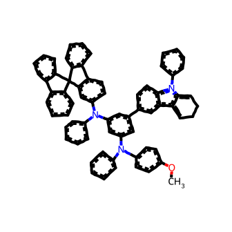 COc1ccc(N(c2ccccc2)c2cc(-c3ccc4c(c3)c3c(n4-c4ccccc4)=CCCC=3)cc(N(c3ccccc3)c3ccc4c(c3)C3(c5ccccc5-c5ccccc53)c3ccccc3-4)c2)cc1